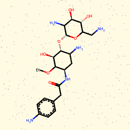 CCOC1[C@@H](O)[C@H](O[C@H]2OC(CN)[C@@H](O)[C@H](O)C2N)C(N)C[C@H]1NC(=O)Cc1ccc(N)cc1